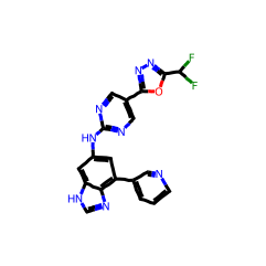 FC(F)c1nnc(-c2cnc(Nc3cc(-c4cccnc4)c4nc[nH]c4c3)nc2)o1